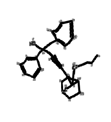 CCOC1(C#CC(O)(c2ccccc2)c2ccccc2)CN2CCC1CC2